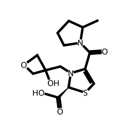 CC1CCCN1C(=O)C1=CS[C@@H](C(=O)O)N1CC1(O)COC1